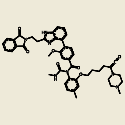 CNC(=O)N(C(=O)c1ccc(-c2cccc3[nH]c(CCN4C(=O)c5ccccc5C4=O)nc23)c(OC)c1)c1ccc(C)cc1OCCCCC(=C=O)N1CCN(C)CC1